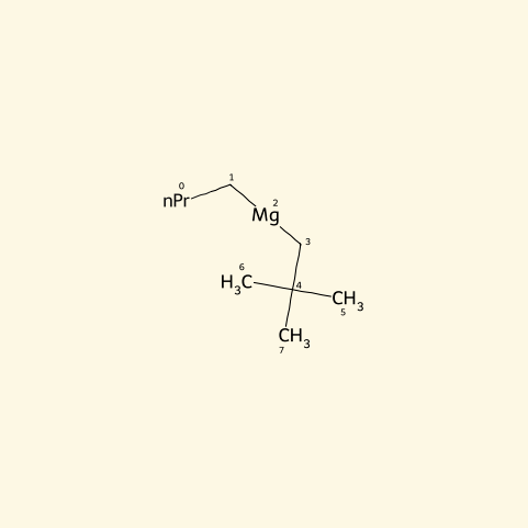 CCC[CH2][Mg][CH2]C(C)(C)C